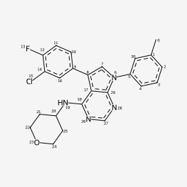 Cc1cccc(-n2cc(-c3ccc(F)c(Cl)c3)c3c(NC4CCOCC4)ncnc32)c1